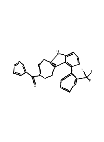 O=C(c1ccccc1)N1CCc2[nH]c3cccc(-c4ccccc4C(F)(F)F)c3c2CC1